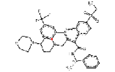 CCS(=O)(=O)c1ccc2c(C(=O)N[C@@H](C)c3ccccc3)c(CN3CCC(N4CCOCC4)CC3)c(-c3cccc(C(F)(F)F)c3)nc2c1